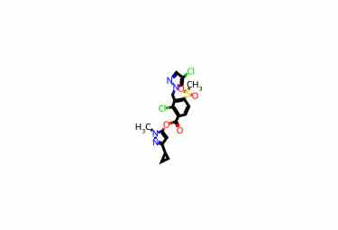 Cn1nc(C2CC2)cc1OC(=O)c1ccc(S(C)(=O)=O)c(Cn2cc(Cl)cn2)c1Cl